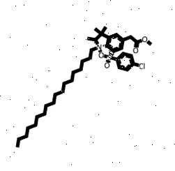 CCCCCCCCCCCCCCCCCC[N+]1(OS(=O)(=O)c2ccc(Cl)cc2)c2ccc(CC(=O)OC)cc2C(C)(C)C1C